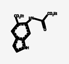 CCOC(=O)C(=O)Nc1cc2[nH]ccc2cc1C(=O)OCC